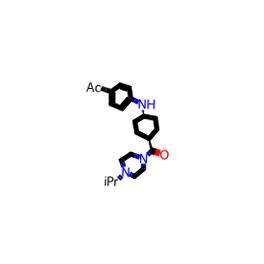 CC(=O)c1ccc(N[C@H]2CC[C@H](C(=O)N3CCN(C(C)C)CC3)CC2)cc1